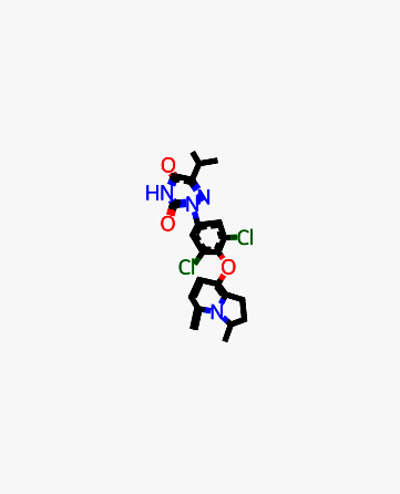 C=C1C=CC(Oc2c(Cl)cc(-n3nc(C(C)C)c(=O)[nH]c3=O)cc2Cl)=C2CCC(C)N12